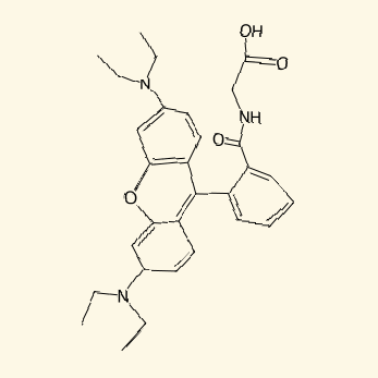 CCN(CC)c1ccc2c(c1)OC1=CC(N(CC)CC)C=CC1=C2c1ccccc1C(=O)NCC(=O)O